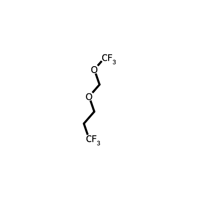 FC(F)(F)CCOCOC(F)(F)F